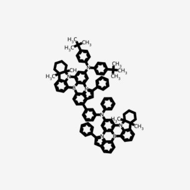 CC(C)(C)c1ccc(N(c2ccc(C(C)(C)C)cc2)c2cc3c4c(c2)-n2c(-c5ccccc5)cc5c(-c6cccc(N(c7ccccc7)c7cc8c9c(c7)-n7c(-c%10ccccc%10)cc%10cccc(c%107)B9c7cccc9c7N8C7(C)CCCCC97C)c6)ccc(c52)B4c2cccc4c2N3C2(C)CCCCC42C)cc1